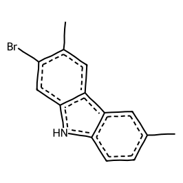 Cc1ccc2[nH]c3cc(Br)c(C)cc3c2c1